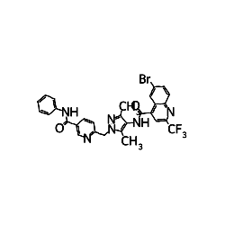 Cc1nn(Cc2ccc(C(=O)Nc3ccccc3)cn2)c(C)c1NC(=O)c1cc(C(F)(F)F)nc2ccc(Br)cc12